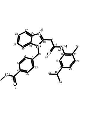 COC(=O)c1ccc(Cn2c(CC(=O)Nc3cc(C(C)C)ccc3C)nc3ccccc32)cc1